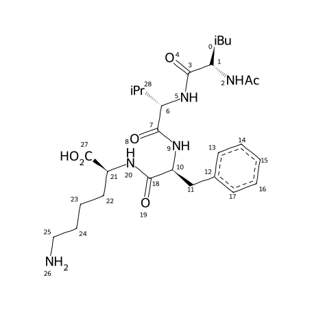 CC[C@H](C)[C@H](NC(C)=O)C(=O)N[C@H](C(=O)N[C@@H](Cc1ccccc1)C(=O)N[C@@H](CCCCN)C(=O)O)C(C)C